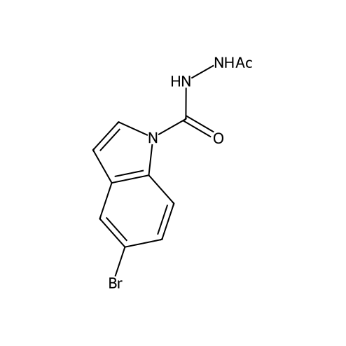 CC(=O)NNC(=O)n1ccc2cc(Br)ccc21